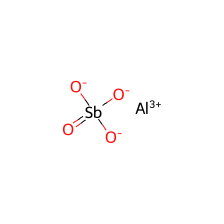 [Al+3].[O]=[Sb]([O-])([O-])[O-]